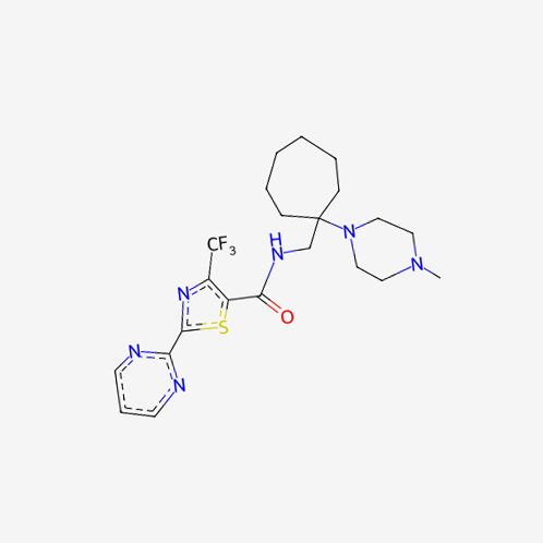 CN1CCN(C2(CNC(=O)c3sc(-c4ncccn4)nc3C(F)(F)F)CCCCCC2)CC1